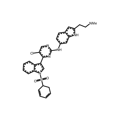 CNCCc1cc2ccc(Nc3ncc(Cl)c(-c4cn(S(=O)(=O)C5C=CC=CC5)c5ccccc45)n3)cc2[nH]1